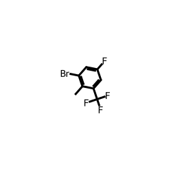 Cc1c(Br)cc(F)cc1C(F)(F)F